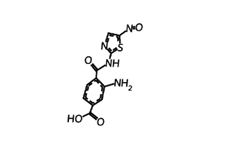 Nc1cc(C(=O)O)ccc1C(=O)Nc1ncc(N=O)s1